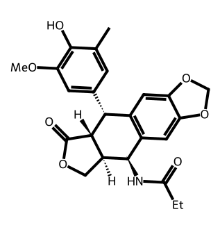 CCC(=O)N[C@@H]1c2cc3c(cc2[C@@H](c2cc(C)c(O)c(OC)c2)[C@H]2C(=O)OC[C@@H]21)OCO3